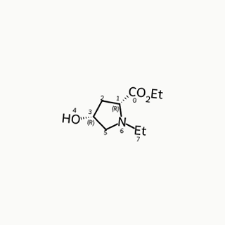 CCOC(=O)[C@H]1C[C@@H](O)CN1CC